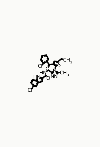 CCc1cc(C(=O)c2ccccc2Cl)c(-n2c(C)nnc2CNC(=O)c2cc3cc(Cl)ccc3[nH]2)s1